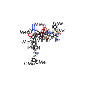 COC(=O)C1=C(C)NC(C)=C(C(=O)OC)C1c1ccccc1[N+](=O)[O-].COCCOC(=O)C1=C(C)NC(C)=C(C(=O)OC(C)C)C1c1cccc([N+](=O)[O-])c1.COc1ccc(CCN(C)CCCC(C#N)(c2ccc(OC)c(OC)c2)C(C)C)cc1OC.COc1ccc([C@@H]2Sc3ccccc3N(CCN(C)C)C(=O)[C@@H]2OC(C)=O)cc1